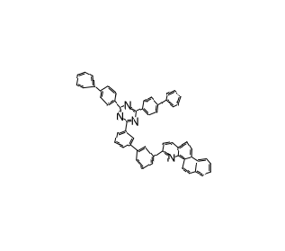 c1ccc(-c2ccc(-c3nc(-c4ccc(-c5ccccc5)cc4)nc(-c4cccc(-c5cccc(-c6ccc7ccc8c9ccccc9ccc8c7n6)c5)c4)n3)cc2)cc1